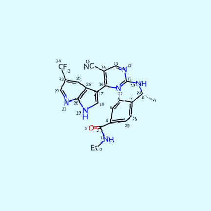 CCNC(=O)c1ccc([C@@H](C)Nc2ncc(C#N)c(-c3c[nH]c4ncc(C(F)(F)F)cc34)n2)cc1